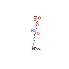 C=CS(=O)(=O)CCOCCNC(=O)CCCCCCCCCCCCCCCCC